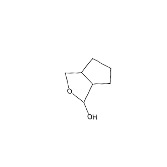 OC1OCC2CCCC21